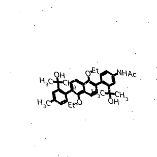 CCOc1c(-c2ccc(C)cc2C(C)(C)O)ccc2c(OCC)c(-c3ccc(NC(C)=O)cc3C(C)(C)O)ccc12